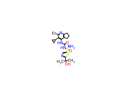 CCc1nc2c(c(NC(=O)N[SH](N)(=O)c3cnc(C(C)(C)O)s3)c1C1CC1)CCC2